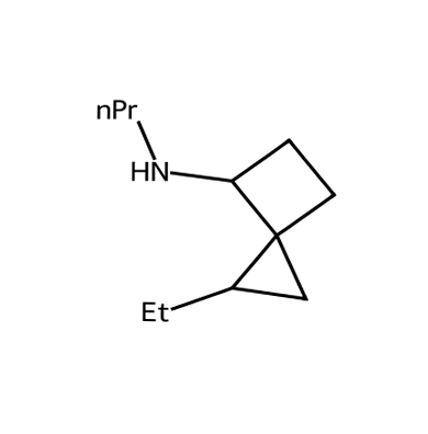 CCCNC1CCC12CC2CC